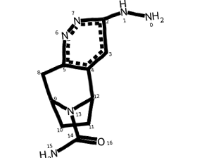 NNc1cc2c(nn1)CC1CCC2N1C(N)=O